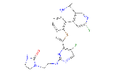 CC(N)c1cnc(Cl)cc1-c1cccc2cc(-c3nc(NCCN4CCNC4=O)ncc3F)sc12